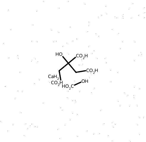 O=C(O)CC(O)(CC(=O)O)C(=O)O.O=C(O)O.[CaH2]